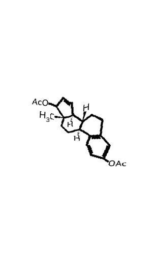 CC(=O)Oc1ccc2c(c1)CC[C@@H]1[C@@H]2CC[C@]2(C)C(OC(C)=O)C=C[C@@H]12